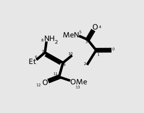 C=C(C)C(=O)NC.CCC(N)=C(C)C(=O)OC